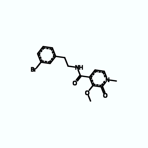 COc1c(C(=O)NCCc2cccc(Br)c2)ccn(C)c1=O